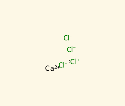 [Ca+2].[Cl+].[Cl-].[Cl-].[Cl-]